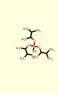 CC(C)C(C)O[Si](C)(OC(C)C(C)C)OC(C)C(C)C